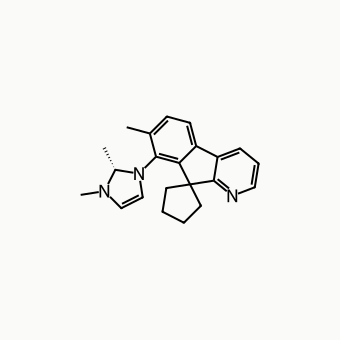 Cc1ccc2c(c1N1C=CN(C)[C@@H]1C)C1(CCCC1)c1ncccc1-2